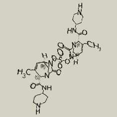 CC1=C[C@@H]2CN(C(=O)N2OS(=O)(=O)ON2C(=O)N3C[C@H]2C=C(C)[C@H]3C(=O)NC2CCNCC2)[C@@H]1C(=O)NC1CCNCC1